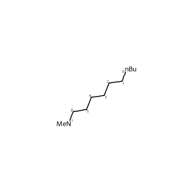 CCCCCCCCC[CH]NC